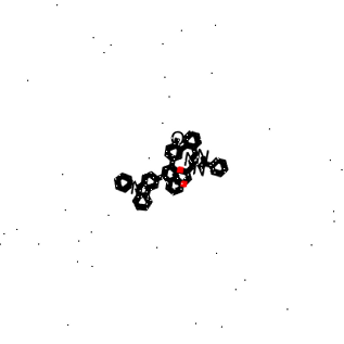 c1ccc(-c2nc(-c3ccccc3)nc(-c3cccc4oc5ccc(-c6cc(-c7ccc8c(c7)c7ccccc7n8-c7ccccc7)c7ccccc7c6)cc5c34)n2)cc1